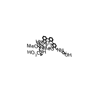 COc1nc(-c2cccc(-c3cccc4c3CC[C@@H]4Nc3nc(OC)c(CNC4(C(=O)O)CC4)nc3C(F)(F)F)c2Cl)ccc1CNC[C@H]1C[C@](C)(O)C1